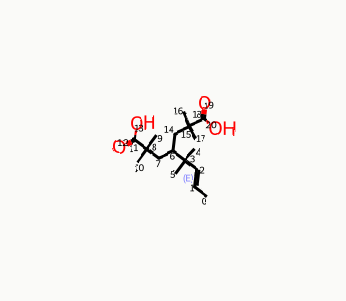 C/C=C/C(C)(C)C(CC(C)(C)C(=O)O)CC(C)(C)C(=O)O